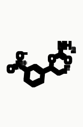 NC(=O)OC(CF)c1cccc([N+](=O)[O-])c1